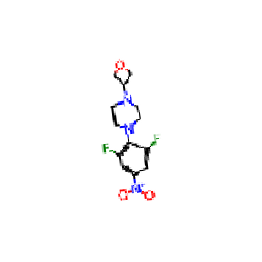 O=[N+]([O-])c1cc(F)c(N2CCN(C3COC3)CC2)c(F)c1